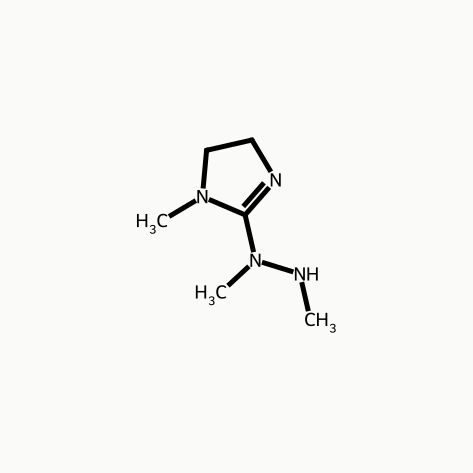 CNN(C)C1=NCCN1C